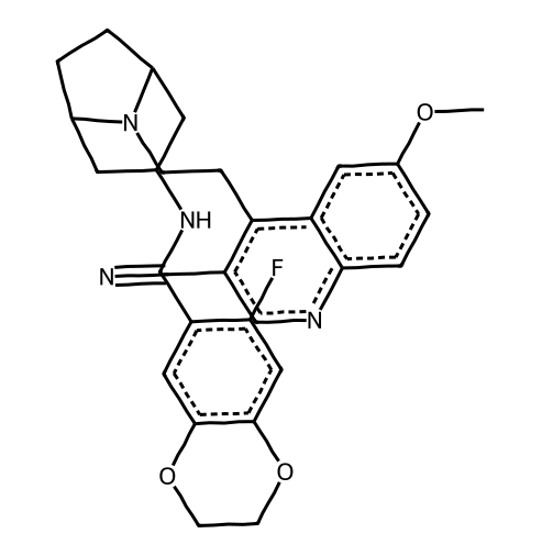 COc1ccc2ncc(C#N)c(CCN3C4CCC3CC(NCc3cc5c(cc3F)OCCO5)C4)c2c1